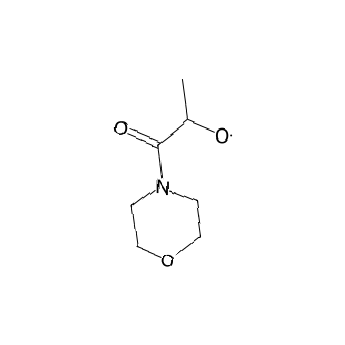 CC([O])C(=O)N1CCOCC1